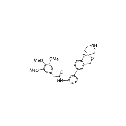 COc1cc(CC(=O)Nc2cccc(-c3ccc4c(c3)COC3(CCNCC3)O4)c2)cc(OC)c1OC